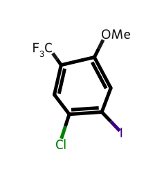 COc1cc(I)c(Cl)cc1C(F)(F)F